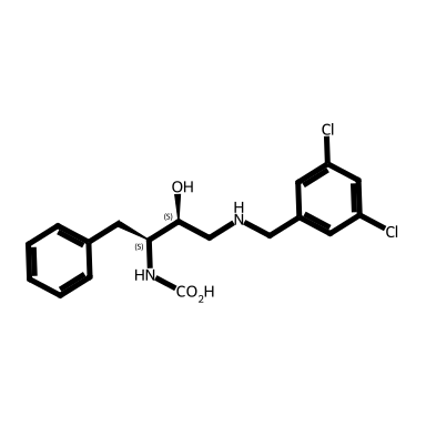 O=C(O)N[C@@H](Cc1ccccc1)[C@@H](O)CNCc1cc(Cl)cc(Cl)c1